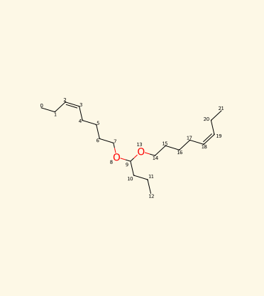 CC/C=C\CCCCOC(CCC)OCCCC/C=C\CC